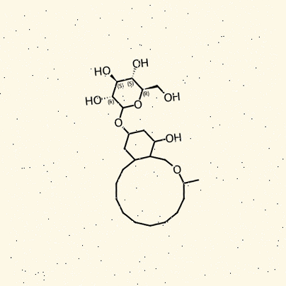 CC1CCCCCCCCCC2CC(OC3O[C@H](CO)[C@@H](O)[C@H](O)[C@H]3O)CC(O)C2CO1